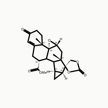 COC(=O)[C@@H]1CC2=CC(=O)CC[C@]2(C)[C@@]23O[C@@H]2C[C@@]2(C)C(C13)[C@@H]1C[C@@H]1[C@@]21COC(=O)O1